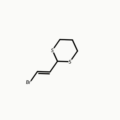 BrC=CC1SCCCS1